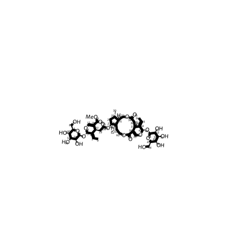 C/C=C1/[C@H](O[C@@H]2O[C@H](CO)[C@@H](O)[C@H](O)[C@H]2O)OC=C(C(=O)OC)[C@H]1CC(=O)O[C@H]1C[C@H](C)[C@H]2COC(=O)C[C@@H]3C(=CO[C@@H](O[C@@H]4O[C@H](CO)[C@@H](O)[C@H](O)[C@H]4O)/C3=C/C)C(=O)OC[C@H](C)[C@@H]21